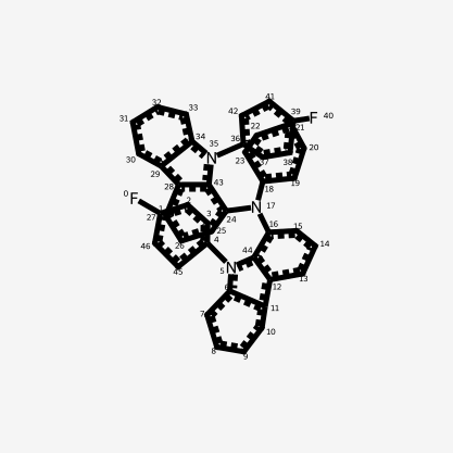 Fc1ccc(-n2c3ccccc3c3cccc(N(c4ccccc4)c4cccc5c6ccccc6n(-c6ccc(F)cc6)c45)c32)cc1